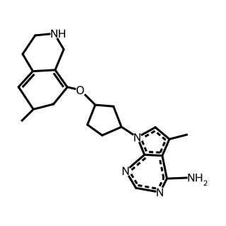 Cc1cn(C2CCC(OC3=C4CNCCC4=CC(C)C3)C2)c2ncnc(N)c12